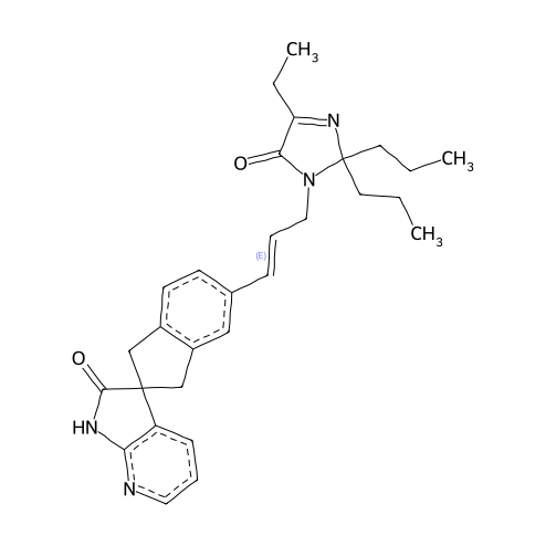 CCCC1(CCC)N=C(CC)C(=O)N1C/C=C/c1ccc2c(c1)CC1(C2)C(=O)Nc2ncccc21